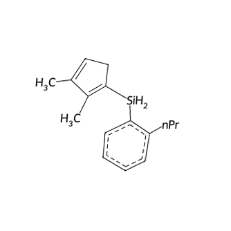 CCCc1ccccc1[SiH2]C1=C(C)C(C)=CC1